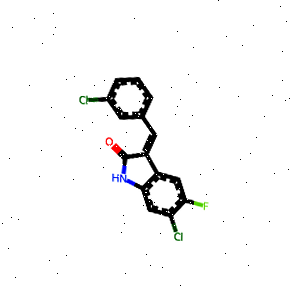 O=C1Nc2cc(Cl)c(F)cc2C1=Cc1cccc(Cl)c1